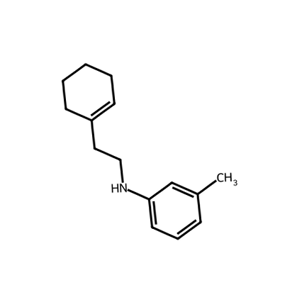 Cc1cccc(NCCC2=CCCCC2)c1